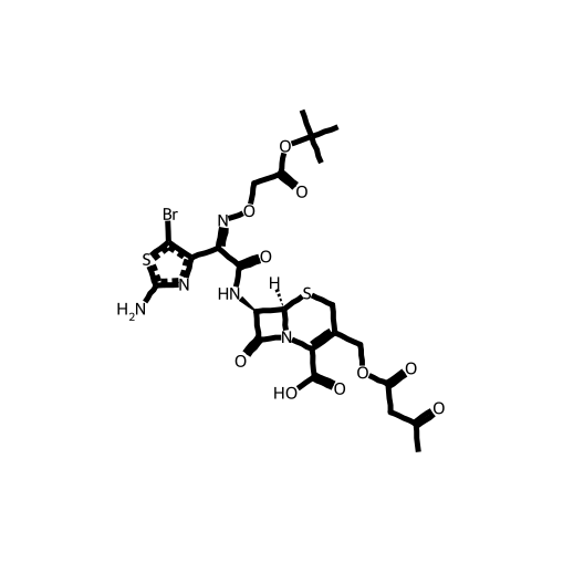 CC(=O)CC(=O)OCC1=C(C(=O)O)N2C(=O)[C@@H](NC(=O)/C(=N\OCC(=O)OC(C)(C)C)c3nc(N)sc3Br)[C@H]2SC1